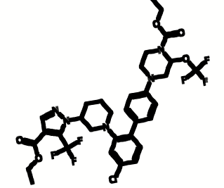 CCOC(=O)c1cnn(C2CCCN(c3cc(Cl)ccc3-c3ccc(N4CCN(C(=O)OCC)C(OC(F)(F)F)C4)cc3)C2)c1C(F)(F)F